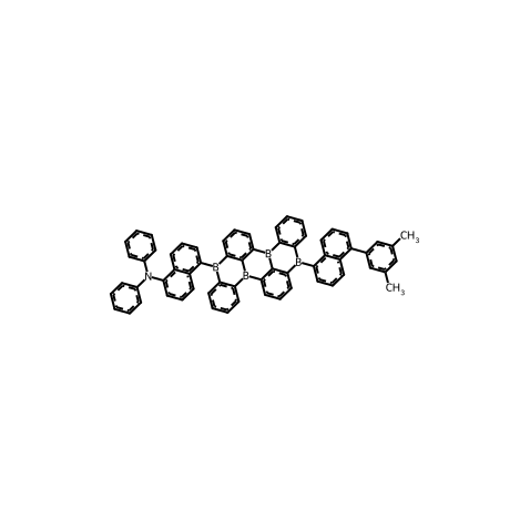 Cc1cc(C)cc(-c2cccc3c(B4c5ccccc5B5c6cccc7c6B(c6ccccc6B7c6cccc7c(N(c8ccccc8)c8ccccc8)cccc67)c6cccc4c65)cccc23)c1